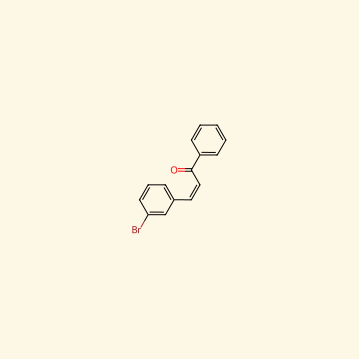 O=C(/C=C\c1cccc(Br)c1)c1ccccc1